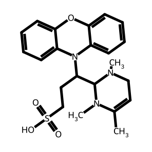 CC1=CCN(C)C(C(CCS(=O)(=O)O)N2c3ccccc3Oc3ccccc32)N1C